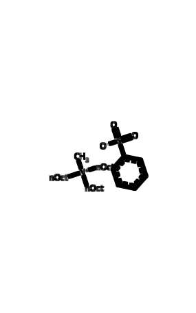 CCCCCCCC[N+](C)(CCCCCCCC)CCCCCCCC.O=S(=O)([O-])c1ccccc1